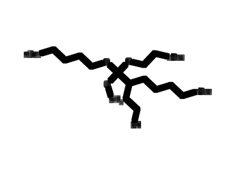 CCCCCCCCCCCCCCOC(O[SiH3])(OCCCCCCCCCCCC)C(CCS)CCCCCCCCCCCCCC